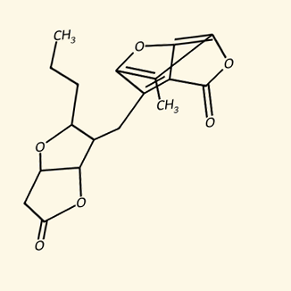 CCCC1OC2CC(=O)OC2C1Cc1c2c3oc1c(C)c3OC2=O